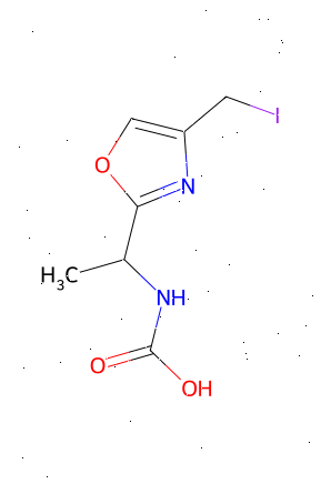 CC(NC(=O)O)c1nc(CI)co1